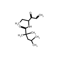 C=CC(=O)C(CC)NC(=O)C(C)(C)CC(C)C